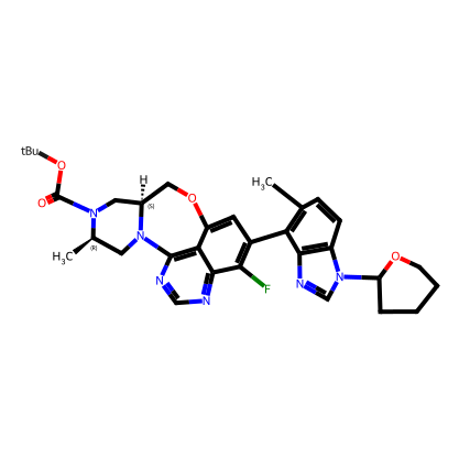 Cc1ccc2c(ncn2C2CCCCO2)c1-c1cc2c3c(ncnc3c1F)N1C[C@@H](C)N(C(=O)OC(C)(C)C)C[C@H]1CO2